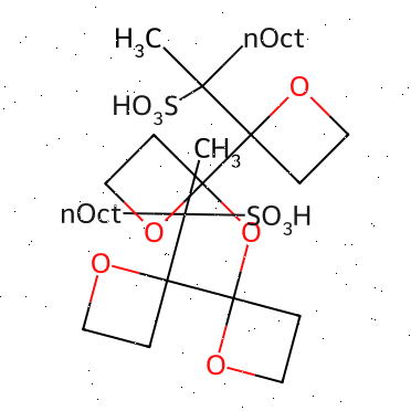 CCCCCCCCC(C)(C1(C2(OC3(C4(C(C)(CCCCCCCC)S(=O)(=O)O)CCO4)CCO3)CCO2)CCO1)S(=O)(=O)O